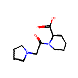 O=C(O)C1CCCCN1C(=O)CN1CCCC1